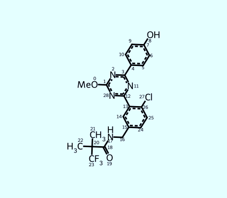 COc1nc(-c2ccc(O)cc2)nc(-c2cc(CNC(=O)C(C)(C)C(F)(F)F)ccc2Cl)n1